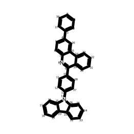 c1ccc(-c2ccc3nc(-c4ccc(-n5c6ccccc6c6ccccc65)cc4)c4ccccc4c3c2)cc1